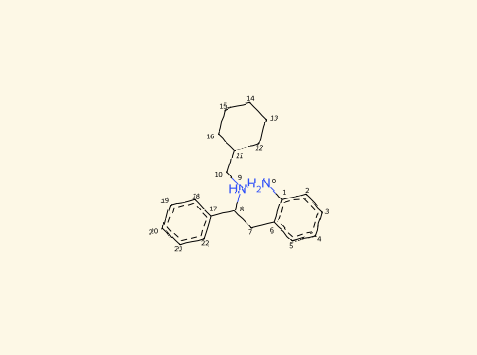 Nc1ccccc1CC(NCC1CCCCC1)c1ccccc1